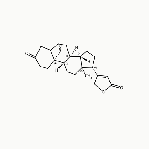 C[C@]12CC[C@H]3[C@@H](CCC4CC(=O)CC[C@@]43C=O)[C@@H]1CC[C@@H]2C1=CC(=O)OC1